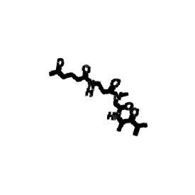 CC(=O)CCCC(=O)NCCC(=O)N(C)CC(=O)NC(C)C(=O)C(C)C